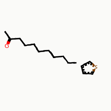 CCCCCCCCCC(C)=O.c1ccsc1